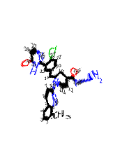 Cc1cccc2ccc(N3CCC(C(N)=O)CC3Cc3ccc(Cl)c(-c4nccc(=O)[nH]4)c3)nc12